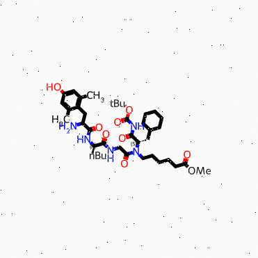 CCCC[C@@H](NC(=O)C(N)Cc1c(C)cc(O)cc1C)C(=O)NCC(=O)N(CCCCCC(=O)OC)[C@@H](CC1CCCCC1)C(=O)NC(=O)OC(C)(C)C